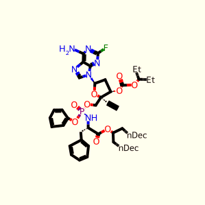 C#C[C@]1(CO[P@@](=O)(N[C@@H](Cc2ccccc2)C(=O)OC(CCCCCCCCCCC)CCCCCCCCCCC)Oc2ccccc2)O[C@@H](n2cnc3c(N)nc(F)nc32)C[C@@H]1OC(=O)OC(CC)CC